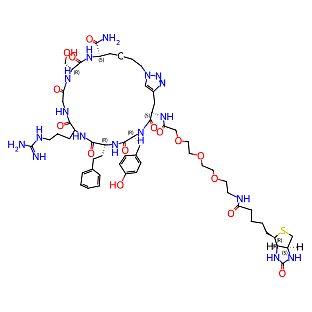 N=C(N)NCCCC1NC(=O)[C@@H](CCc2ccccc2)NC(=O)[C@@H](Cc2ccc(O)cc2)NC(=O)[C@@H](NC(=O)COCCOCCOCCNC(=O)CCCC[C@H]2SC[C@H]3NC(=O)N[C@H]32)Cc2cn(nn2)CCCC[C@@H](C(N)=O)NC(=O)[C@@H](CO)NC(=O)CNC1=O